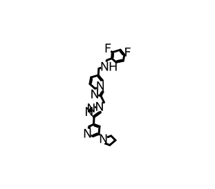 Fc1ccc(CNCc2ccc3nc(Cn4cc(-c5cncc(N6CCCC6)c5)nn4)cn3c2)c(F)c1